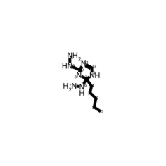 CCCCCC1(NN)N=C(NN)N=CN1